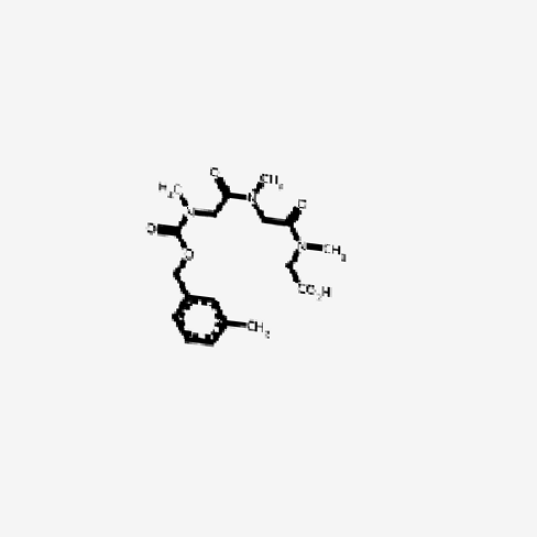 Cc1cccc(COC(=O)N(C)CC(=O)N(C)CC(=O)N(C)CC(=O)O)c1